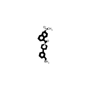 C[S+]([O-])c1ccc2c(C(=O)N3CCC(c4cccc(CN)c4)CC3)cccc2c1